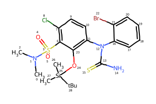 CN(C)S(=O)(=O)c1c(Cl)ccc(N(C(N)=S)c2ccccc2Br)c1O[Si](C)(C)C(C)(C)C